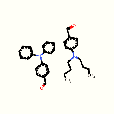 CCCCN(CCCC)c1ccc(C=O)cc1.O=Cc1ccc(N(c2ccccc2)c2ccccc2)cc1